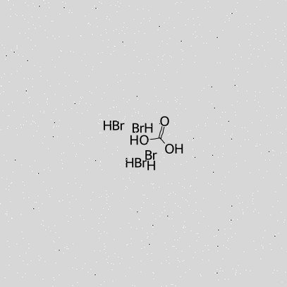 Br.Br.Br.Br.O=C(O)O